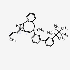 C\C=C/C=C1\NC2N\C1=C/C(C)(c1cccc(-c3cccc(C(C)(C)C(C)(C)C)c3)c1)CC1C=C=C=CN12